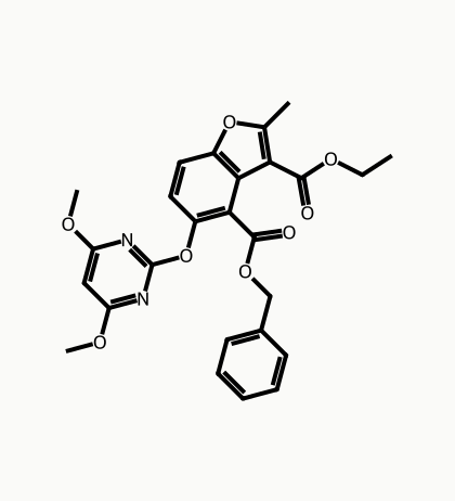 CCOC(=O)c1c(C)oc2ccc(Oc3nc(OC)cc(OC)n3)c(C(=O)OCc3ccccc3)c12